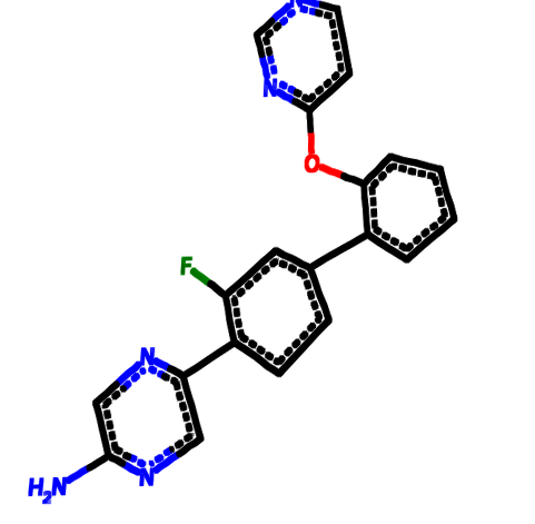 Nc1cnc(-c2ccc(-c3ccccc3Oc3ccncn3)cc2F)cn1